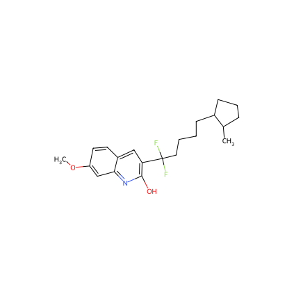 COc1ccc2cc(C(F)(F)CCCCC3CCCC3C)c(O)nc2c1